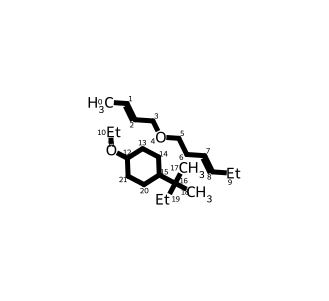 CC=CCOCCC=CCC.CCOC1CCC(C(C)(C)CC)CC1